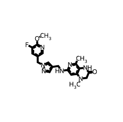 COc1ncc(Cn2cc(CNc3cc4c(c(C)n3)NC(=O)CN4C)cn2)cc1F